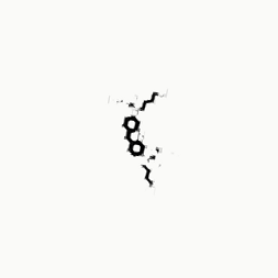 CC(C)(C)OC(=O)N(CCCCCl)c1ccc2cc3ccc(N(CCCCCl)C(=O)OC(C)(C)C)cc3nc2c1